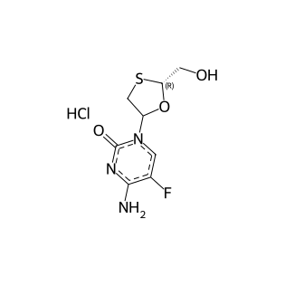 Cl.Nc1nc(=O)n(C2CS[C@H](CO)O2)cc1F